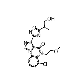 COCCn1c(=O)c2c(-c3noc(C(C)CO)n3)ncn2c2cccc(Cl)c21